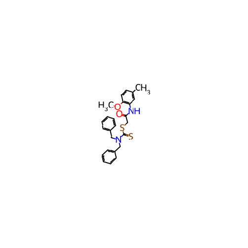 COc1ccc(C)cc1NC(=O)CSC(=S)N(Cc1ccccc1)Cc1ccccc1